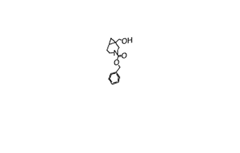 O=C(OCc1ccccc1)N1CCC2CC2(CO)C1